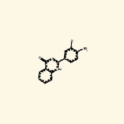 Nc1ccc(-c2nc(=O)c3ccccc3[nH]2)cc1Cl